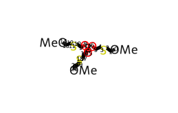 COCCSCCOB(OCCSCCOC)OCCSCCOC